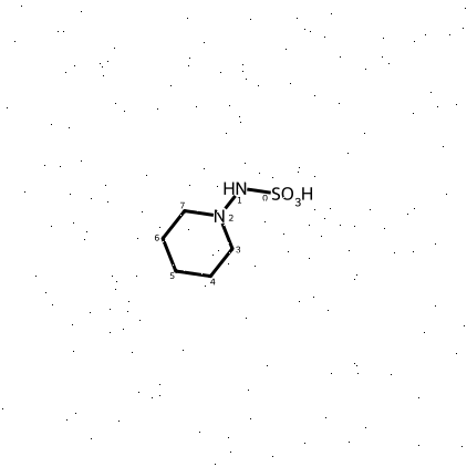 O=S(=O)(O)NN1CCCCC1